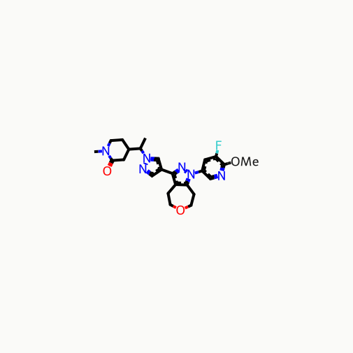 COc1ncc(-n2nc(-c3cnn(C(C)C4CCN(C)C(=O)C4)c3)c3c2CCOCC3)cc1F